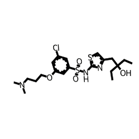 CCC(O)(CC)Cc1csc(NS(=O)(=O)c2cc(Cl)cc(OCCCN(C)C)c2)n1